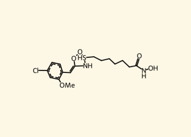 COc1cc(Cl)ccc1/C=C1/N[SH](CCCCCCC(=O)NO)OO1